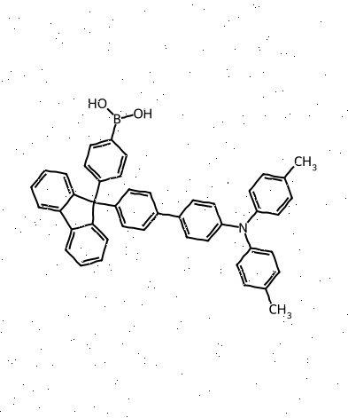 Cc1ccc(N(c2ccc(C)cc2)c2ccc(-c3ccc(C4(c5ccc(B(O)O)cc5)c5ccccc5-c5ccccc54)cc3)cc2)cc1